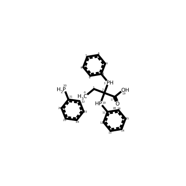 CCC(Pc1ccccc1)(Pc1ccccc1)C(=O)O.Pc1ccccc1